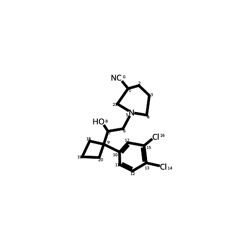 N#CC1CCCN(CC(O)C2(c3ccc(Cl)c(Cl)c3)CCC2)C1